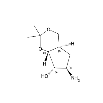 CC1(C)OC[C@H]2C[C@@H](N)[C@H](O)[C@@H]2O1